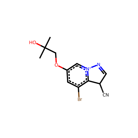 CC(C)(O)COc1cc(Br)c2[n+](c1)N=CC2C#N